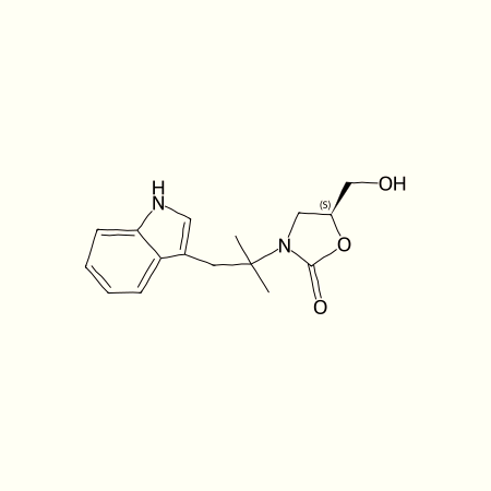 CC(C)(Cc1c[nH]c2ccccc12)N1C[C@@H](CO)OC1=O